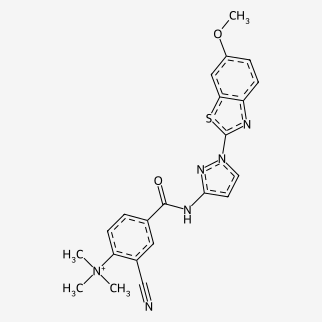 COc1ccc2nc(-n3ccc(NC(=O)c4ccc([N+](C)(C)C)c(C#N)c4)n3)sc2c1